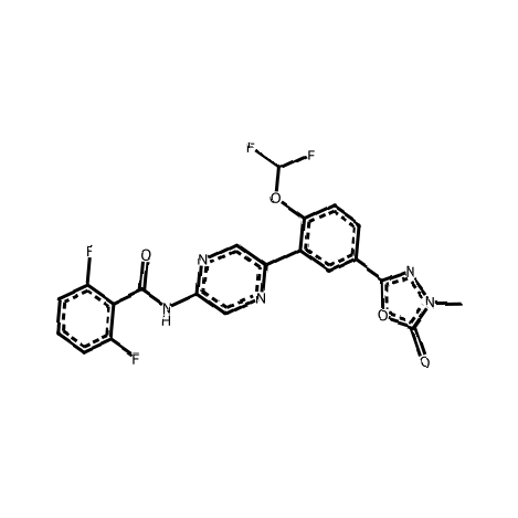 Cn1nc(-c2ccc(OC(F)F)c(-c3cnc(NC(=O)c4c(F)cccc4F)cn3)c2)oc1=O